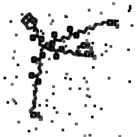 CCCCCCCCOC(=O)CCCC(=O)OCC(COC(=O)CCCC(=O)OCCCCCCCC)(COC(=O)CC12CC3CC4CC(C1)C43C2)COC(=O)OCCCN(CC)CC